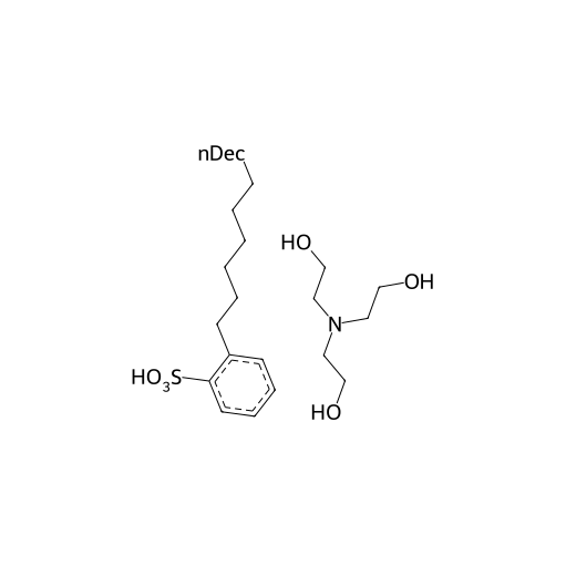 CCCCCCCCCCCCCCCCc1ccccc1S(=O)(=O)O.OCCN(CCO)CCO